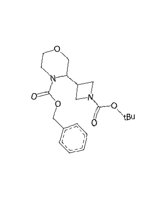 CC(C)(C)OC(=O)N1CC(C2COCCN2C(=O)OCc2ccccc2)C1